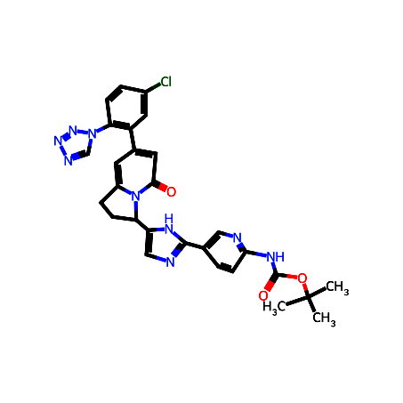 CC(C)(C)OC(=O)Nc1ccc(-c2ncc(C3CCc4cc(-c5cc(Cl)ccc5-n5cnnn5)cc(=O)n43)[nH]2)cn1